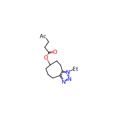 CCn1nnc2c1CCC(OC(=O)CCC(C)=O)CCC2